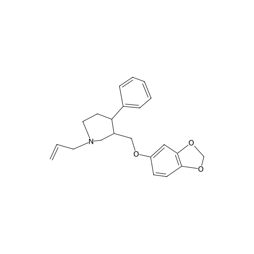 C=CCN1CCC(c2ccccc2)C(COc2ccc3c(c2)OCO3)C1